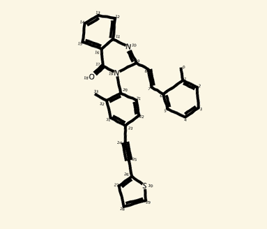 Cc1ccccc1C=Cc1nc2ccccc2c(=O)n1-c1ccc(C#Cc2cccs2)cc1C